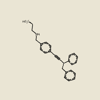 O=C(O)CCNCc1ccc(C#CC(Cc2ccccc2)c2ccccc2)cc1